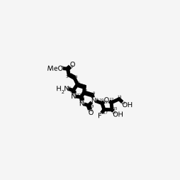 COC(=O)/C=C/c1cc2cn(C3OC(CO)C(O)C3F)c(=O)nc2nc1N